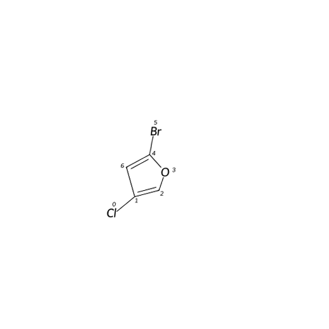 Clc1coc(Br)c1